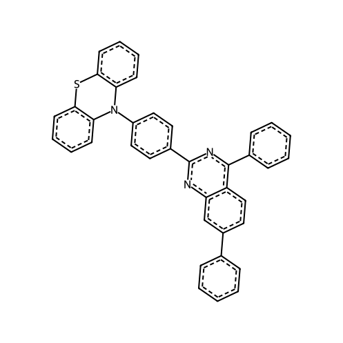 c1ccc(-c2ccc3c(-c4ccccc4)nc(-c4ccc(N5c6ccccc6Sc6ccccc65)cc4)nc3c2)cc1